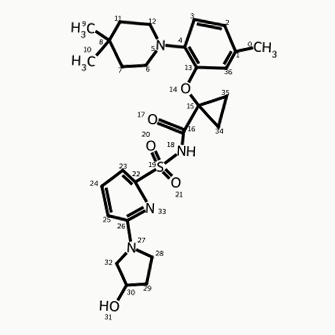 Cc1ccc(N2CCC(C)(C)CC2)c(OC2(C(=O)NS(=O)(=O)c3cccc(N4CCC(O)C4)n3)CC2)c1